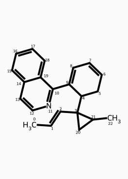 CC=CC1(C2CC=CC=C2c2nccc3ccccc23)CC1C